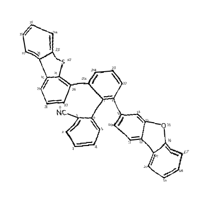 N#Cc1ccccc1-c1c(-c2ccc3c(c2)oc2ccccc23)cccc1-c1cccc2c1sc1ccccc12